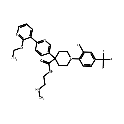 CCOc1ncccc1-c1ccc(C2(C(=O)NCCNC)CCN(c3ccc(C(F)(F)F)cc3Cl)CC2)cn1